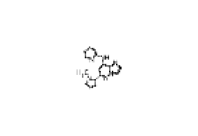 Cn1cccc1-c1cc(Nc2ccccn2)c2nccn2n1